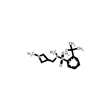 CN1CC(CN(C)S(=O)(=O)c2ccccc2C(C)(C)C)C1